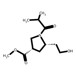 COC(=O)[C@H]1C[C@@H](CCO)N(C(=O)C(C)C)C1